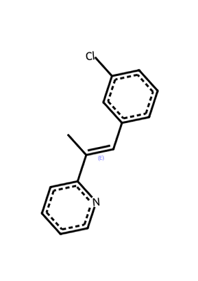 C/C(=C\c1cccc(Cl)c1)c1ccccn1